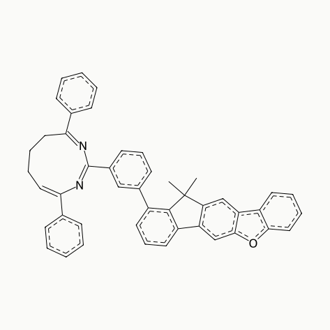 CC1(C)c2cc3c(cc2-c2cccc(-c4cccc(C5=N/C(c6ccccc6)=C\CCC/C(c6ccccc6)=N\5)c4)c21)oc1ccccc13